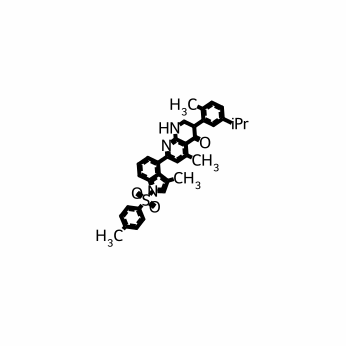 Cc1ccc(S(=O)(=O)n2cc(C)c3c(-c4cc(C)c5c(n4)NCC(c4cc(C(C)C)ccc4C)C5=O)cccc32)cc1